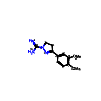 COc1ccc(C2=NN(C(=N)N)CC2)cc1OC